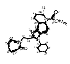 COC(=O)N1c2ccc3c(nc(CCn4ccccc4=O)n3C3CCCCC3)c2CC[C@@H]1C